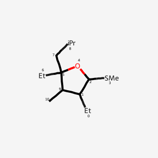 CCC1C(SC)OC(CC)(CC(C)C)C1C